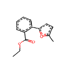 CCOC(=O)c1ccccc1-c1ccc(C)o1